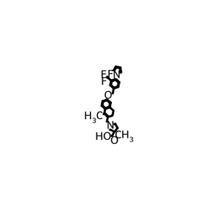 CC1=C(CN2CCC(C)(C(=O)O)C2)CCc2cc(OCc3ccc(-n4cccc4)c(C(F)(F)F)c3)ccc21